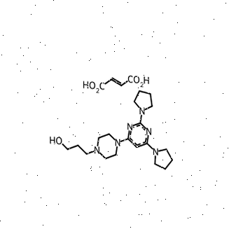 O=C(O)C=CC(=O)O.OCCCN1CCN(c2cc(N3CCCC3)nc(N3CCCC3)n2)CC1